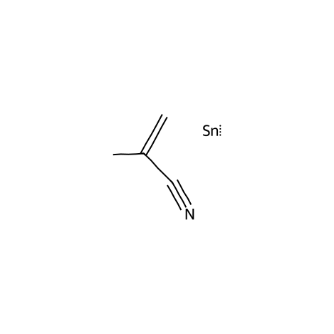 C=C(C)C#N.[Sn]